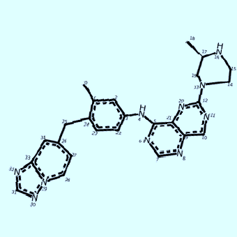 Cc1cc(Nc2ncnc3cnc(N4CCN[C@H](C)C4)nc23)ccc1Cc1ccn2ncnc2c1